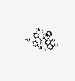 Cc1ccc(N)cc1-c1cnc(N)nc1N[C@@H](C)c1cc2cccc(Cl)c2c(=O)n1-c1ccccc1